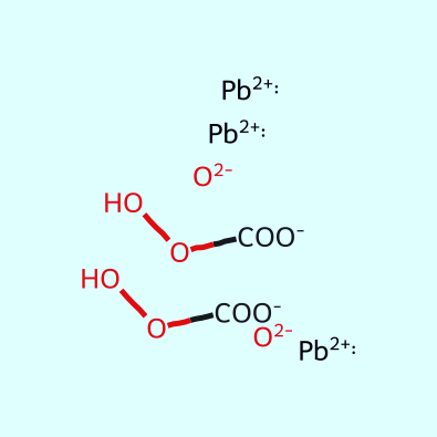 O=C([O-])OO.O=C([O-])OO.[O-2].[O-2].[Pb+2].[Pb+2].[Pb+2]